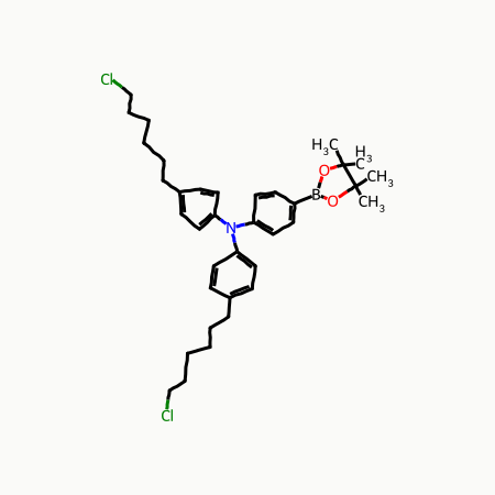 CC1(C)OB(c2ccc(N(c3ccc(CCCCCCCl)cc3)c3ccc(CCCCCCCl)cc3)cc2)OC1(C)C